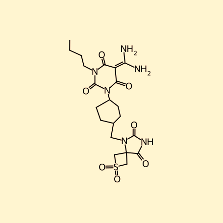 CCCCN1C(=O)C(=C(N)N)C(=O)N(C2CCC(CN3C(=O)NC(=O)C34CS(=O)(=O)C4)CC2)C1=O